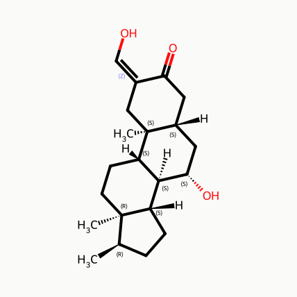 C[C@@H]1CC[C@H]2[C@@H]3[C@@H](O)C[C@H]4CC(=O)/C(=C\O)C[C@]4(C)[C@H]3CC[C@]12C